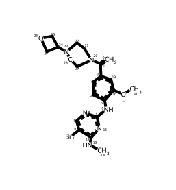 C=C(c1ccc(Nc2ncc(Br)c(NC)n2)c(OC)c1)N1CCN(C2COC2)CC1